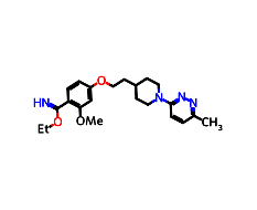 CCOC(=N)c1ccc(OCCC2CCN(c3ccc(C)nn3)CC2)cc1OC